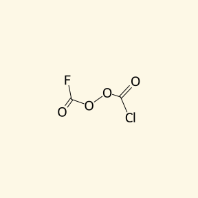 O=C(F)OOC(=O)Cl